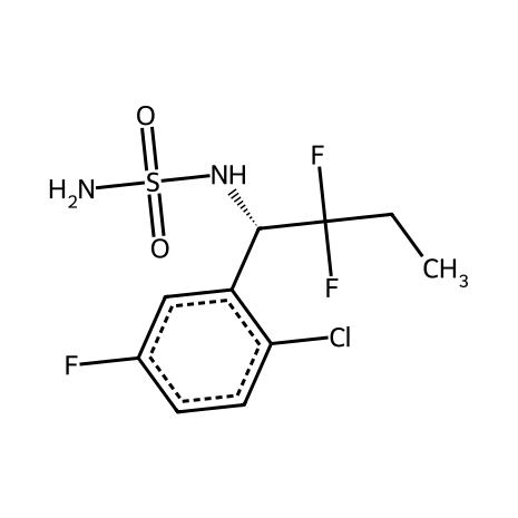 CCC(F)(F)[C@@H](NS(N)(=O)=O)c1cc(F)ccc1Cl